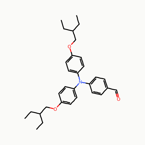 CCC(CC)COc1ccc(N(c2ccc(C=O)cc2)c2ccc(OCC(CC)CC)cc2)cc1